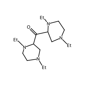 CCN1CCN(CC)C(C(=O)C2CN(CC)CCN2CC)C1